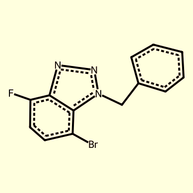 Fc1ccc(Br)c2c1nnn2Cc1ccccc1